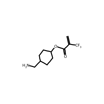 C=C(C(=O)OC1CCC(CN)CC1)C(F)(F)F